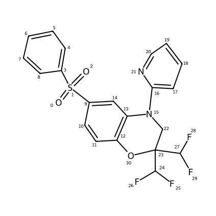 O=S(=O)(c1ccccc1)c1ccc2c(c1)N(c1ccccn1)CC(C(F)F)(C(F)F)O2